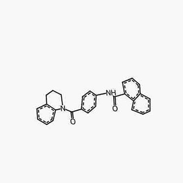 O=C(Nc1ccc(C(=O)N2CCCc3ccccc32)cc1)c1cccc2ccccc12